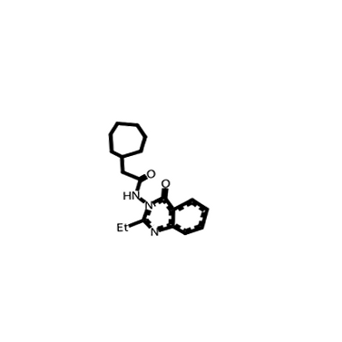 CCc1nc2ccccc2c(=O)n1NC(=O)CC1CCCCCC1